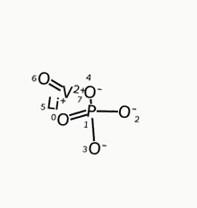 O=P([O-])([O-])[O-].[Li+].[O]=[V+2]